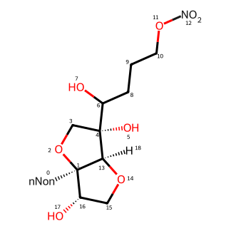 CCCCCCCCC[C@]12OC[C@@](O)(C(O)CCCO[N+](=O)[O-])[C@H]1OC[C@@H]2O